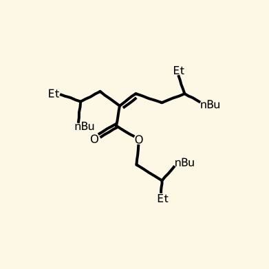 CCCCC(CC)CC=C(CC(CC)CCCC)C(=O)OCC(CC)CCCC